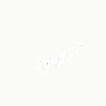 CC(C)(C)NC(=O)CN1CCN2C[C@@H](NC(=O)c3ccc(Cl)c(Cl)c3)C[C@H]2C1